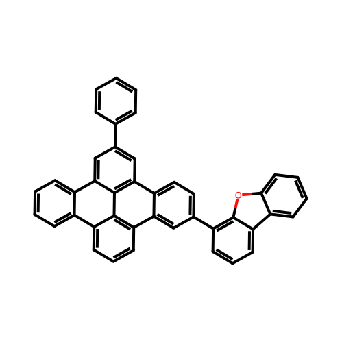 c1ccc(-c2cc3c4ccccc4c4cccc5c6cc(-c7cccc8c7oc7ccccc78)ccc6c(c2)c3c45)cc1